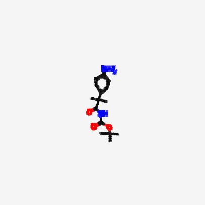 CC(C)(C)OC(=O)NC(=O)C(C)(C)c1ccc(N)cc1